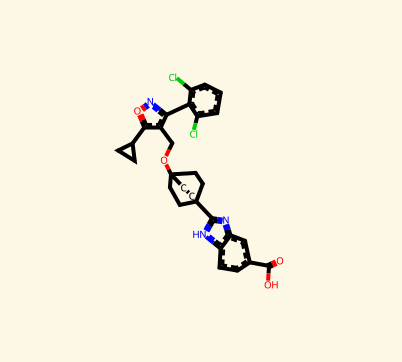 O=C(O)c1ccc2[nH]c(C34CCC(OCc5c(-c6c(Cl)cccc6Cl)noc5C5CC5)(CC3)CC4)nc2c1